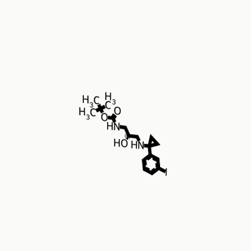 CC(C)(C)OC(=O)NC[C@H](O)CNC1(c2cccc(I)c2)CC1